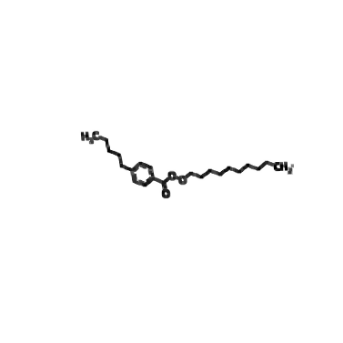 [CH2]CCCCCCCCCOOC(=O)c1ccc(CCCCC)cc1